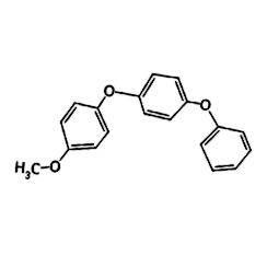 COc1ccc(Oc2ccc(Oc3ccccc3)cc2)cc1